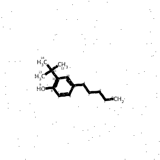 [CH2]CCCCc1ccc(O)c(C(C)(C)C)c1